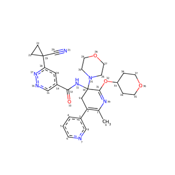 CC1=C(c2cccnc2)CC(NC(=O)c2cnnc(C3(C#N)CC3)c2)(N2CCOCC2)C(OC2CCOCC2)=N1